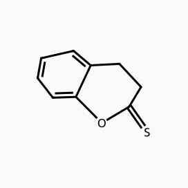 S=C1CCc2ccccc2O1